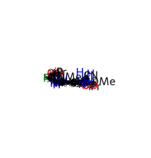 COC(=O)NC(C(=O)N1CC(C#N)CC1c1ncc(-c2ccc(C#Cc3ccc(-c4cnc(C5CC(F)C[N+]5(F)C(=O)C(NC(=O)OC)C(C)C)[nH]4)cc3)cc2)[nH]1)C(C)C